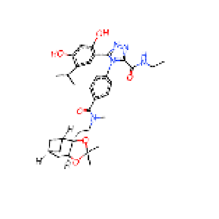 CCNC(=O)c1nnc(-c2cc(C(C)C)c(O)cc2O)n1-c1ccc(C(=O)N(C)CC[C@]23OC(C)(C)O[C@H]2C[C@H]2C[C@@H]3C2)cc1